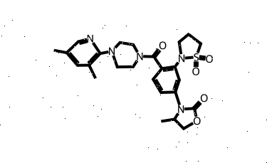 Cc1cnc(N2CCN(C(=O)c3ccc(N4C(=O)OCC4C)cc3N3CCCS3(=O)=O)CC2)c(C)c1